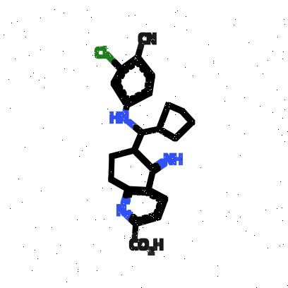 N#Cc1ccc(NC(C2CCCC2)C2CCc3nc(C(=O)O)ccc3C2=N)cc1Cl